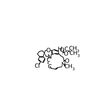 CN1C/C=C/CCCCN2C[C@@]3(CCCc4cc(Cl)ccc43)COc3ccc(cc32)[C@H](C(=O)OC(C)(C)C)CC1=O